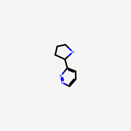 c1cnnc(C2CCC[N]2)c1